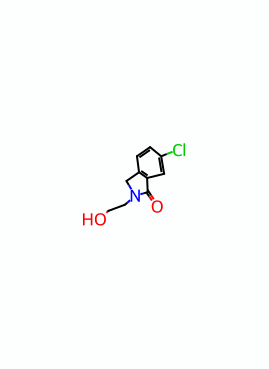 O=C1c2cc(Cl)ccc2CN1CCO